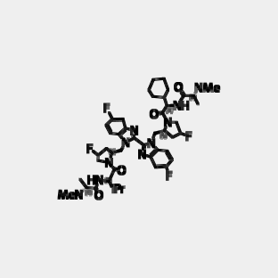 CN[C@H](C)C(=O)N[C@@H](C(=O)N1CC(F)C[C@H]1Cn1c(-c2nc3cc(F)ccc3n2C[C@@H]2CC(F)CN2C(=O)[C@H](NC(=O)[C@@H](C)NC)C2CCCCC2)nc2cc(F)ccc21)C(C)C